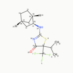 CC(C)C1(C(F)(F)F)SC(N[C@H]2C[C@@H]3CC[C@H]2C3)=NC1=O